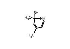 CC1=CC(C)(S)NC=C1